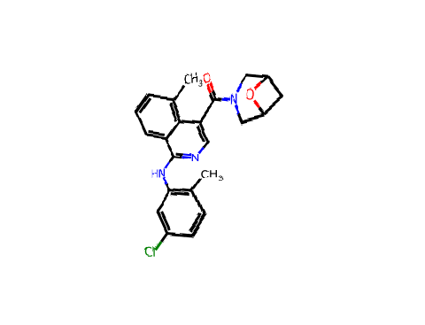 Cc1ccc(Cl)cc1Nc1ncc(C(=O)N2CC3CC(C2)O3)c2c(C)cccc12